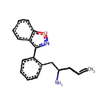 C=CCC(N)Cc1ccccc1-c1noc2ccccc12